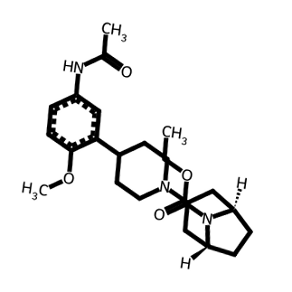 CCOC(=O)N1[C@@H]2CC[C@@H]1CC(N1CCC(c3cc(NC(C)=O)ccc3OC)CC1)C2